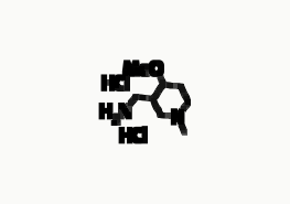 COC1CCN(C)CC1CN.Cl.Cl